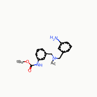 CC(=O)N(Cc1cccc(N)c1)Cc1cccc(NC(=O)OC(C)(C)C)c1